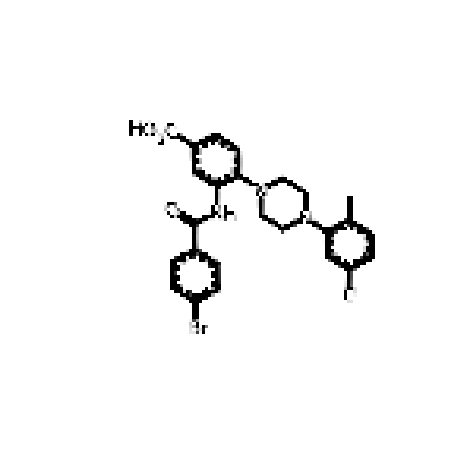 Cc1ccc(Cl)cc1N1CCN(c2ccc(C(=O)O)cc2NC(=O)c2ccc(Br)cc2)CC1